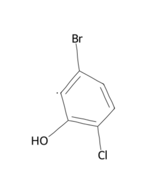 Oc1[c]c(Br)ccc1Cl